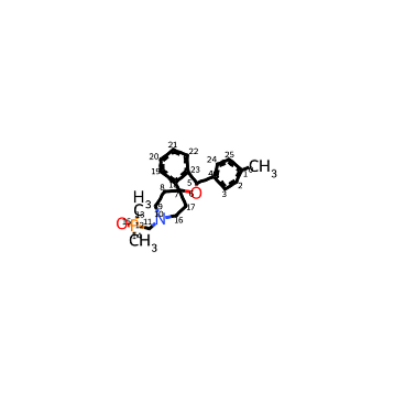 Cc1ccc(C2OC3(CCN(CP(C)(C)=O)CC3)c3ccccc32)cc1